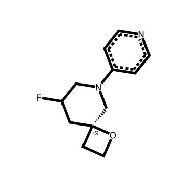 FC1CN(c2ccncc2)C[C@]2(CCO2)C1